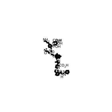 Cc1c(-c2ccc(N3CCc4cccc(C(=O)Nc5nc6ccccc6s5)c4C3)nc2C(=O)O)cnn1CC12CC3(C)CC(C)(C1)CC(OCCN(CCC(=O)N(C)C)C(=O)OCc1ccc(CCCCN)cc1O[C@H]1O[C@@H](C(=O)O)[C@H](O)[C@@H](O)[C@@H]1O)(C3)C2